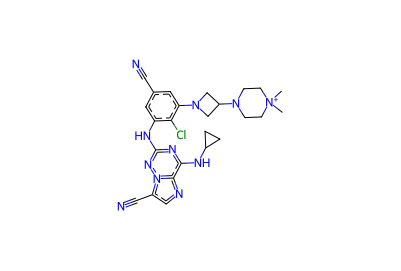 C[N+]1(C)CCN(C2CN(c3cc(C#N)cc(Nc4nc(NC5CC5)c5ncc(C#N)n5n4)c3Cl)C2)CC1